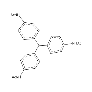 CC(=O)Nc1ccc(C(c2ccc(NC(C)=O)cc2)c2ccc(NC(C)=O)cc2)cc1